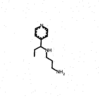 CCC(NCCCN)c1ccncc1